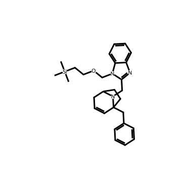 C[Si](C)(C)CCOCn1c(CN2C3CC=CC2(Cc2ccccc2)CC3)nc2ccccc21